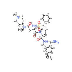 CC(=O)N1CCC(N(C)C(=O)C[C@@H](NS(=O)(=O)Cc2ccccc2)C(=O)N2CCC[C@H]2C(=O)NCc2cc(C)ccc2CN)CC1